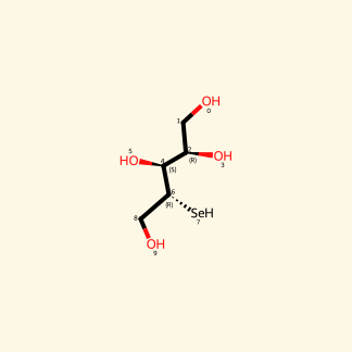 OC[C@@H](O)[C@H](O)[C@H]([SeH])CO